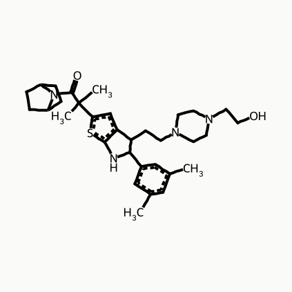 Cc1cc(C)cc(C2Nc3sc(C(C)(C)C(=O)N4C5CCC4CC5)cc3C2CCN2CCN(CCO)CC2)c1